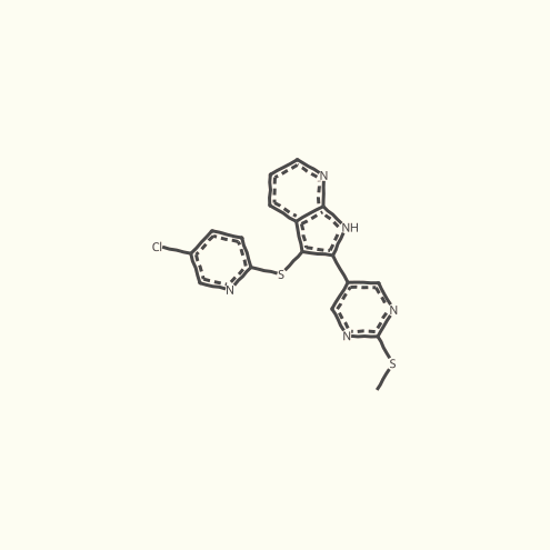 CSc1ncc(-c2[nH]c3ncccc3c2Sc2ccc(Cl)cn2)cn1